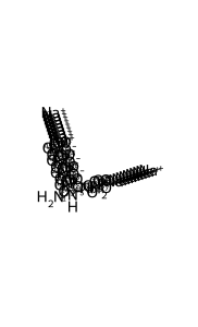 NCCNCCN.O=P([O-])([O-])CP(=O)([O-])[O-].O=P([O-])([O-])CP(=O)([O-])[O-].O=P([O-])([O-])CP(=O)([O-])[O-].O=P([O-])([O-])CP(=O)([O-])[O-].O=P([O-])([O-])CP(=O)([O-])[O-].[Na+].[Na+].[Na+].[Na+].[Na+].[Na+].[Na+].[Na+].[Na+].[Na+].[Na+].[Na+].[Na+].[Na+].[Na+].[Na+].[Na+].[Na+].[Na+].[Na+]